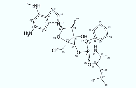 CNc1nc(N)nc2c1ncn2[C@@H]1O[C@]2(CCl)C(O[P@@](=S)(N[C@H](C)C(=O)OC(C)C)Oc3ccccc3)[C@]2(O)[C@@H]1F